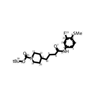 CSc1ccc(NC(=O)CCCC2CCN(C(=O)OC(C)(C)C)CC2)cc1F